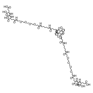 O=C(O)CCC(NC(=O)NC(CCC(=O)NCCOCCOCCOCCOCCC(=O)NCCCCCNC(=O)CCCNC(=O)C(C(C(=O)NCCCC(=O)NCCCCCNC(=O)CCOCCOCCOCCOCCNC(=O)CCC(NC(=O)NC(CCC(=O)O)C(=O)O)C(=O)O)N1C(=O)C=CC1=O)N1C(=O)C=CC1=O)C(=O)O)C(=O)O